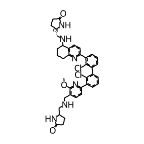 COc1nc(-c2cccc(-c3cccc(-c4ccc5c(n4)CCCC5NC[C@@H]4CCC(=O)N4)c3Cl)c2Cl)ccc1CNCC1CCC(=O)N1